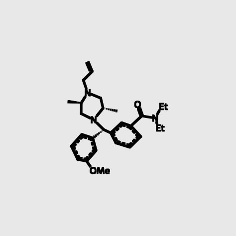 C=CCN1C[C@H](C)N([C@@H](c2cccc(OC)c2)c2cccc(C(=O)N(CC)CC)c2)C[C@H]1C